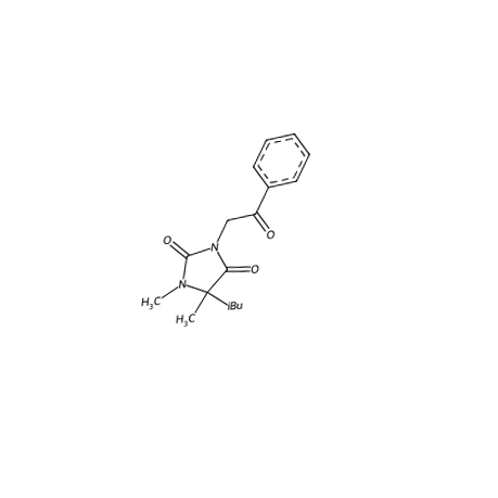 CCC(C)C1(C)C(=O)N(CC(=O)c2ccccc2)C(=O)N1C